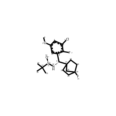 COc1cc(Cl)c(F)c([C@@H](N[S@+]([O-])C(C)(C)C)C23CCC(F)(CC2)C3)c1